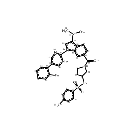 Cc1ccc(S(=O)(=O)OC2CCN(C(=O)c3ccc4c([S+](C)[O-])cn(-c5ncc(-c6ccccc6F)cn5)c4c3)C2)cc1